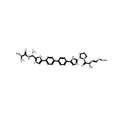 COO/C=N/[C@H](C(=O)N1CCC[C@H]1c1ncc(-c2ccc(-c3ccc(-c4cnc([C@@H](C)NC(=O)[C@@H](C)C(C)C)[nH]4)cc3)cc2)[nH]1)C(C)C